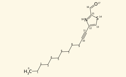 CCCCCCCCCCC#Cc1csc(C=O)n1